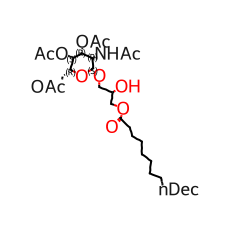 CCCCCCCCCCCCCCCCCC(=O)OCC(O)CO[C@H]1O[C@H](COC(C)=O)[C@@H](OC(C)=O)[C@H](OC(C)=O)[C@H]1NC(C)=O